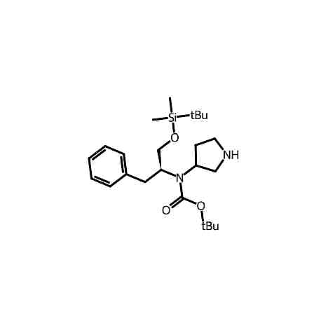 CC(C)(C)OC(=O)N(C1CCNC1)[C@H](CO[Si](C)(C)C(C)(C)C)Cc1ccccc1